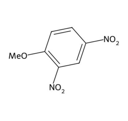 COc1ccc([N+](=O)[O-])cc1[N+](=O)[O-]